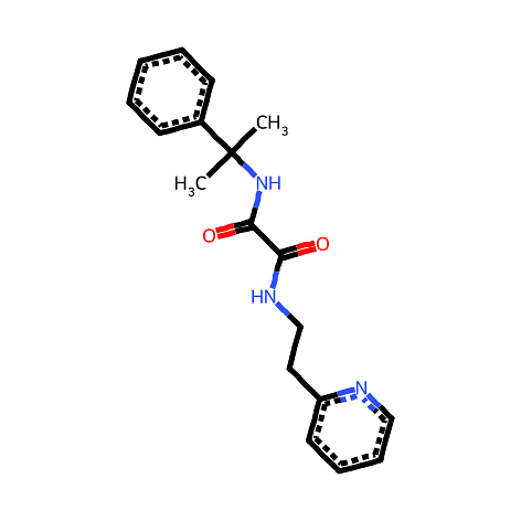 CC(C)(NC(=O)C(=O)NCCc1ccccn1)c1ccccc1